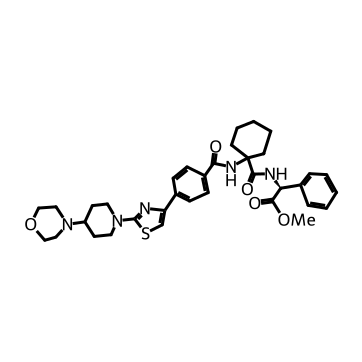 COC(=O)[C@@H](NC(=O)C1(NC(=O)c2ccc(-c3csc(N4CCC(N5CCOCC5)CC4)n3)cc2)CCCCC1)c1ccccc1